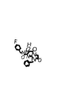 O=C(NCc1ccc(F)cc1)c1nc2n(c(=O)c1O)CC(=O)N2Cc1ccccc1